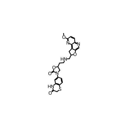 COc1ccc2ncc3c(c2n1)CC(CNCCC1CN(c2ccc4c(c2)NC(=O)CS4)C(=O)O1)O3